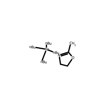 CC1=NCCO1.CCCC[N+](CCCC)(CCCC)CCCC